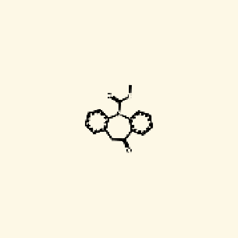 COC(=O)N1c2ccccc2CC(=O)c2ccccc21